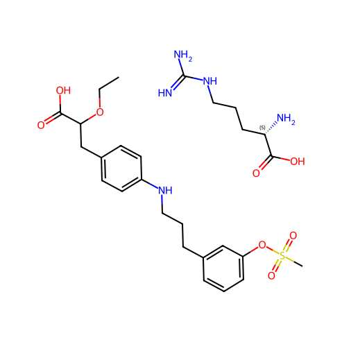 CCOC(Cc1ccc(NCCCc2cccc(OS(C)(=O)=O)c2)cc1)C(=O)O.N=C(N)NCCC[C@H](N)C(=O)O